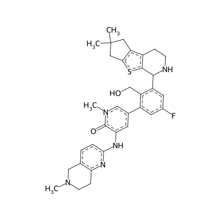 CN1CCc2nc(Nc3cc(-c4cc(F)cc(C5NCCc6c5sc5c6CC(C)(C)C5)c4CO)cn(C)c3=O)ccc2C1